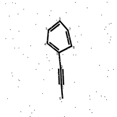 CC#Cc1ccccc1